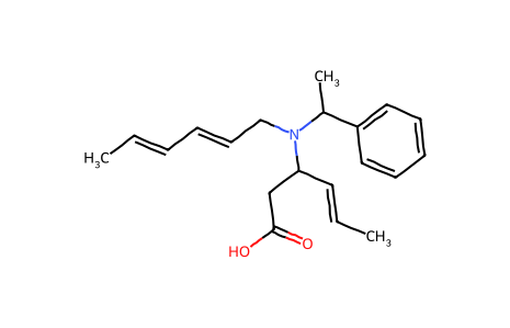 CC=CC=CCN(C(C=CC)CC(=O)O)C(C)c1ccccc1